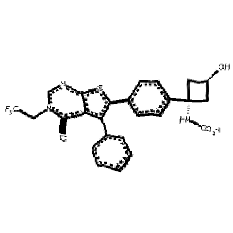 O=C(O)N[C@]1(c2ccc(-c3sc4ncn(CC(F)(F)F)c(=O)c4c3-c3ccccc3)cc2)C[C@@H](O)C1